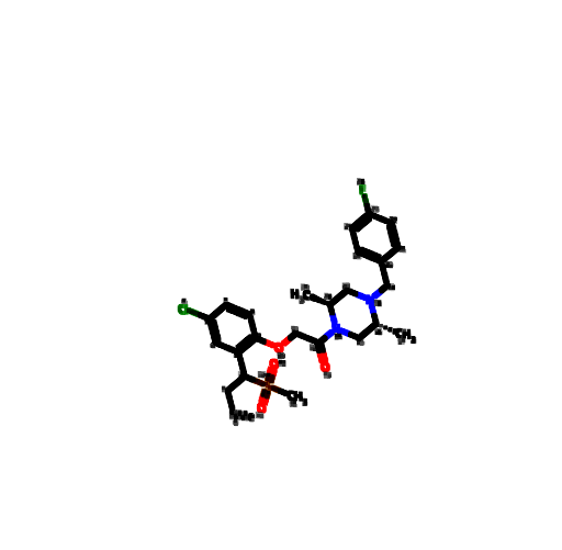 CNCC(c1cc(Cl)ccc1OCC(=O)N1C[C@@H](C)N(Cc2ccc(F)cc2)C[C@@H]1C)S(C)(=O)=O